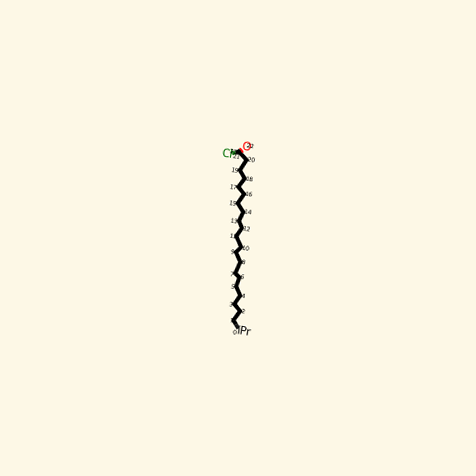 CC(C)CCCCCCCCCCCCCCCCCCCCC(=O)Cl